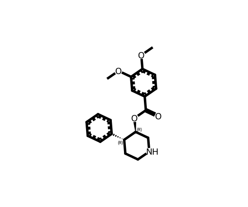 COc1ccc(C(=O)O[C@H]2CNCC[C@@H]2c2ccccc2)cc1OC